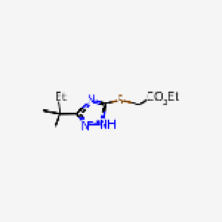 CCOC(=O)CSc1nc(C(C)(C)CC)n[nH]1